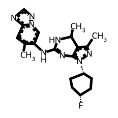 Cc1cc2ncnn2cc1NC1=Nc2c(c(C)nn2[C@H]2CC[C@@H](F)CC2)C(C)N1